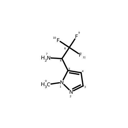 Cn1nccc1C(N)C(F)(F)F